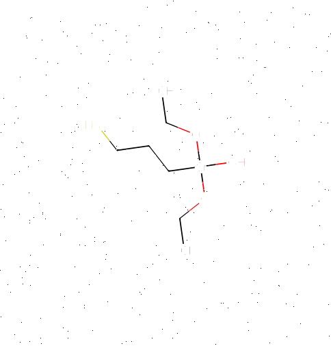 CCO[Si](O)(CCCS)OCC